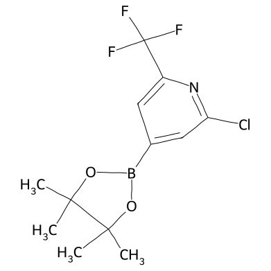 CC1(C)OB(c2cc(Cl)nc(C(F)(F)F)c2)OC1(C)C